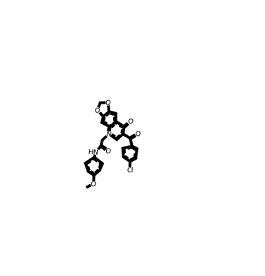 COc1ccc(NC(=O)Cn2cc(C(=O)c3ccc(Cl)cc3)c(=O)c3cc4c(cc32)OCO4)cc1